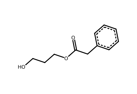 O=C(Cc1ccccc1)OCCCO